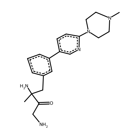 CN1CCN(c2ccc(-c3cccc(CC(C)(N)C(=O)CN)c3)cn2)CC1